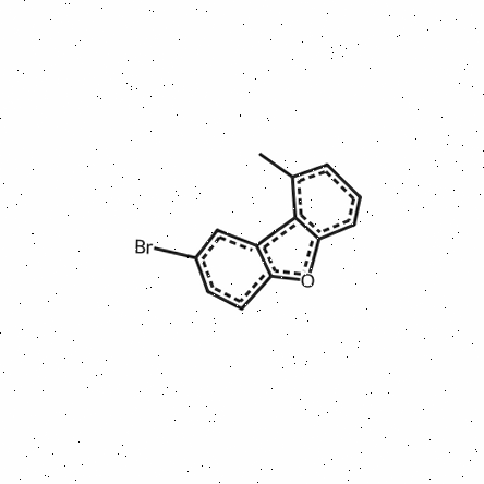 Cc1cccc2oc3ccc(Br)cc3c12